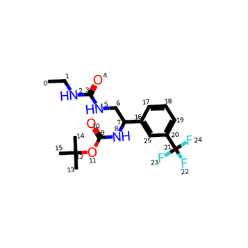 CCNC(=O)NCC(NC(=O)OC(C)(C)C)c1cccc(C(F)(F)F)c1